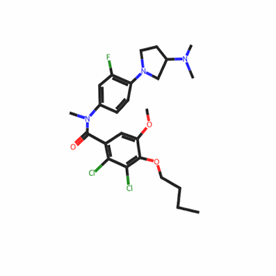 CCCCOc1c(OC)cc(C(=O)N(C)c2ccc(N3CCC(N(C)C)C3)c(F)c2)c(Cl)c1Cl